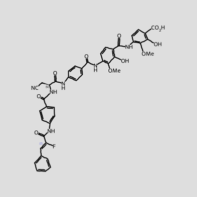 COc1c(NC(=O)c2ccc(NC(=O)c3ccc(NC(=O)[C@H](CC#N)NC(=O)c4ccc(NC(=O)/C(F)=C/c5ccccc5)cc4)cc3)c(OC)c2O)ccc(C(=O)O)c1O